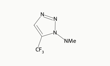 CNn1nncc1C(F)(F)F